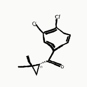 CC1(C)C[C@H]1C(=O)c1ccc(Cl)c(Cl)c1